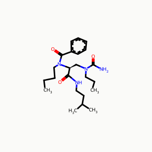 CCCCN(C(=O)c1ccccc1)[C@@H](CN(CCC)C(N)=O)C(=O)NCCC(C)C